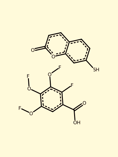 O=C(O)c1cc(OF)c(OF)c(OF)c1F.O=c1ccc2ccc(S)cc2o1